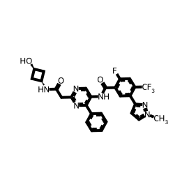 Cn1ccc(-c2cc(C(=O)Nc3cnc(CC(=O)N[C@H]4C[C@H](O)C4)nc3-c3ccccc3)c(F)cc2C(F)(F)F)n1